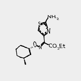 CCOC(=O)C(=NO[C@H]1CCC[C@H](C)C1)c1csc(N)n1